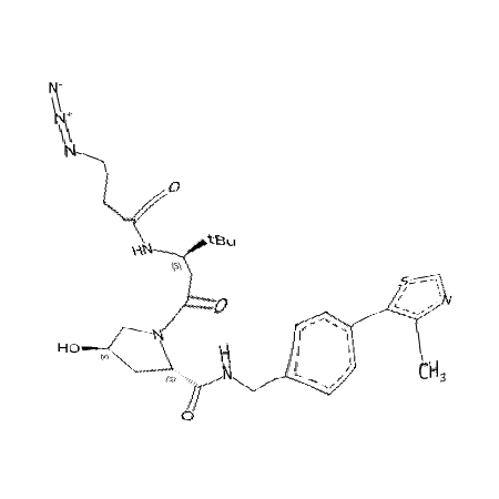 Cc1ncsc1-c1ccc(CNC(=O)[C@@H]2C[C@@H](O)CN2C(=O)[C@@H](NC(=O)CCN=[N+]=[N-])C(C)(C)C)cc1